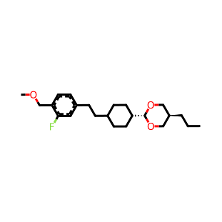 CCC[C@H]1CO[C@H](C2CCC(CCc3ccc(COC)c(F)c3)CC2)OC1